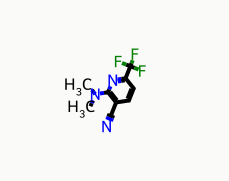 CN(C)c1nc(C(F)(F)F)ccc1C#N